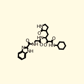 O=C(CNC(=O)c1nc2ccccc2[nH]1)NC(CC1CCNC1=O)C(=O)C(=O)NC1CCCCC1